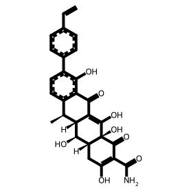 C=Cc1ccc(-c2ccc3c(c2O)C(=O)C2=C(O)[C@]4(O)C(=O)C(C(N)=O)=C(O)C[C@@H]4[C@@H](O)[C@@H]2[C@H]3C)cc1